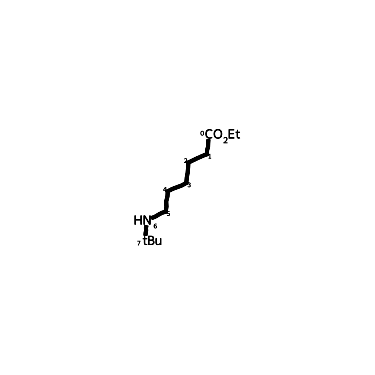 CCOC(=O)CCCCCNC(C)(C)C